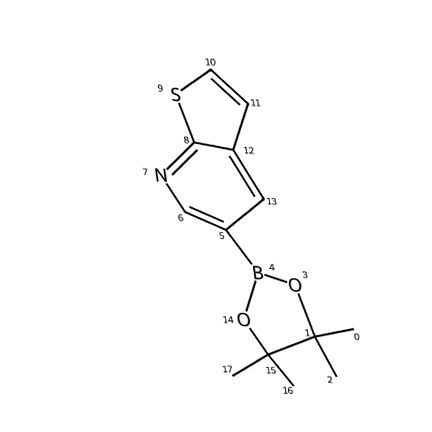 CC1(C)OB(c2cnc3sccc3c2)OC1(C)C